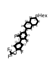 CCCCCCC1CCC2CC(c3cc(F)c(-c4ccc(OC(F)F)c(F)c4)c(F)c3)CCC2C1